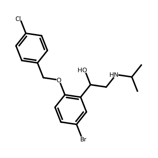 CC(C)NCC(O)c1cc(Br)ccc1OCc1ccc(Cl)cc1